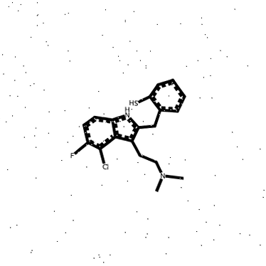 CN(C)CCc1c(Cc2ccccc2S)[nH]c2ccc(F)c(Cl)c12